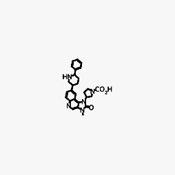 Cn1c(=O)n(C2CCN(C(=O)O)C2)c2c3cc(C4CCC(c5ccccc5)NC4)ccc3ncc21